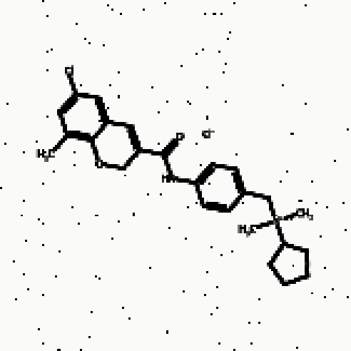 Cc1cc(Cl)cc2c1OCC(C(=O)Nc1ccc(C[N+](C)(C)C3CCCC3)cc1)=C2.[Cl-]